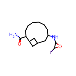 NC(=O)C1CCCCCCC(NC2OC2I)CC2CC1C2